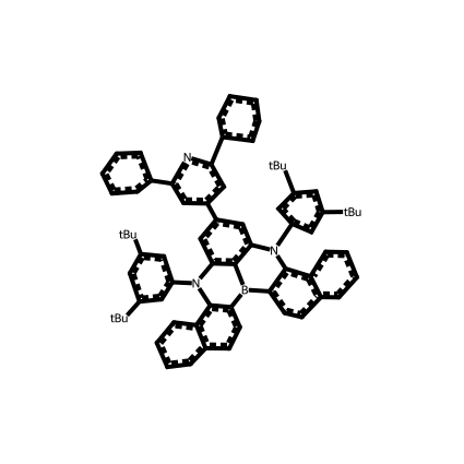 CC(C)(C)c1cc(N2c3cc(-c4cc(-c5ccccc5)nc(-c5ccccc5)c4)cc4c3B(c3ccc5ccccc5c32)c2ccc3ccccc3c2N4c2cc(C(C)(C)C)cc(C(C)(C)C)c2)cc(C(C)(C)C)c1